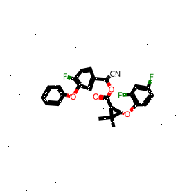 CC1(C)C(Oc2ccc(F)cc2F)C1C(=O)OC(C#N)c1ccc(F)c(Oc2ccccc2)c1